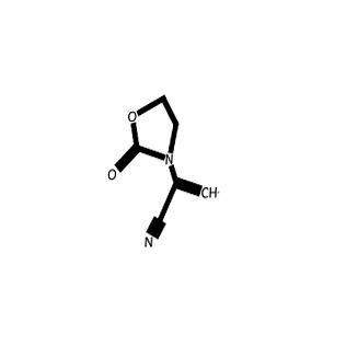 [CH]=C(C#N)N1CCOC1=O